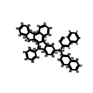 C=C/C(=C\c1ccccc1)N(c1ccc2ccccc2c1)c1ccc2c(c1)c1c3ccccc3c3c4ccccc4sc3c1n2-c1ccccc1